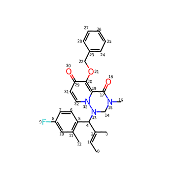 C/C=C(\C)C(c1ccc(F)cc1C)N1CN(C)C(=O)c2c(OCc3ccccc3)c(=O)ccn21